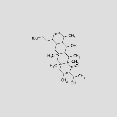 CC1=C(C(C)O)C(=O)C2(C)C(C)C3C(O)C4C(C)C=CC(CCC(C)(C)C)C4CC3(C)CC2(C)C1